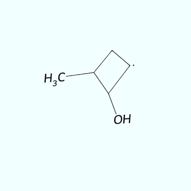 CC1C[CH]C1O